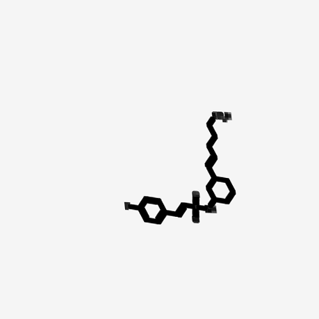 O=C(O)CCC/C=C/C1CCCC(NS(=O)(=O)/C=C/c2ccc(F)cc2)C1